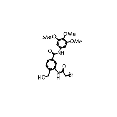 COc1cc(NC(=O)c2ccc(CO)c(NC(=O)CBr)c2)cc(OC)c1OC